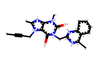 CC#CCn1c(C)nc2c1c(=O)n(Cc1nc(C)c3ccccc3n1)c(=O)n2C